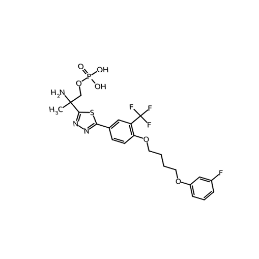 CC(N)(COP(=O)(O)O)c1nnc(-c2ccc(OCCCCOc3cccc(F)c3)c(C(F)(F)F)c2)s1